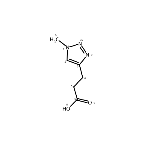 Cn1cc(CCC(=O)O)nn1